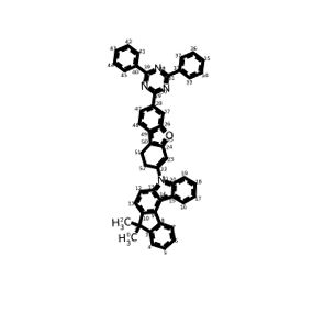 CC1(C)c2ccccc2-c2c1ccc1c2c2ccccc2n1C1=Cc2oc3cc(-c4nc(-c5ccccc5)nc(-c5ccccc5)n4)ccc3c2CC1